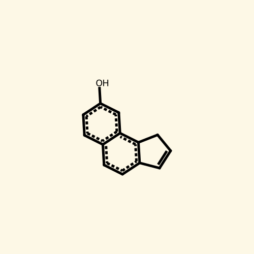 Oc1ccc2ccc3c(c2c1)CC=C3